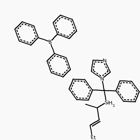 CCC=CC(C)[SiH2]C(c1ccccc1)(c1ccccc1)n1ccnc1.c1ccc(B(c2ccccc2)c2ccccc2)cc1